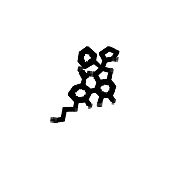 NC(=O)c1ccc(OCCO)c(F)c1-c1c(Cl)c(F)cc2c1C[C@](c1ccccc1)(C1CCCN1)O2